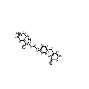 O=C(NCCOc1ccc(CC2=CC(=S)CC=C2)cc1)C1CCNCC1